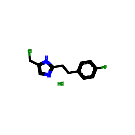 Cl.Fc1ccc(CCc2ncc(CCl)[nH]2)cc1